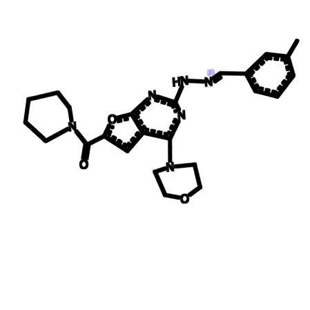 Cc1cccc(/C=N/Nc2nc(N3CCOCC3)c3cc(C(=O)N4CCCCC4)oc3n2)c1